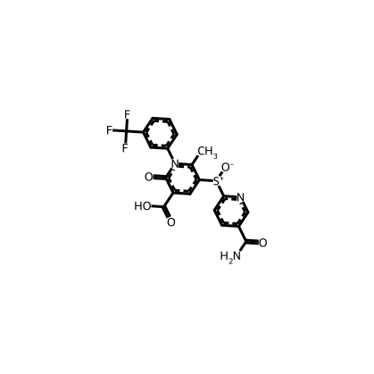 Cc1c([S+]([O-])c2ccc(C(N)=O)cn2)cc(C(=O)O)c(=O)n1-c1cccc(C(F)(F)F)c1